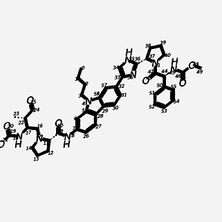 CCCCn1c2cc(NC(=O)[C@@H]3CCCN3CC(NC(=O)O)[C@H](C)C=O)ccc2c2ccc(-c3c[nH]c([C@@H]4CCCN4C(=O)[C@H](NC(=O)OC)c4ccccc4)n3)cc21